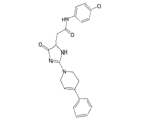 O=C(CC1NC(N2CC=C(c3ccccc3)CC2)=NC1=O)Nc1ccc(Cl)cc1